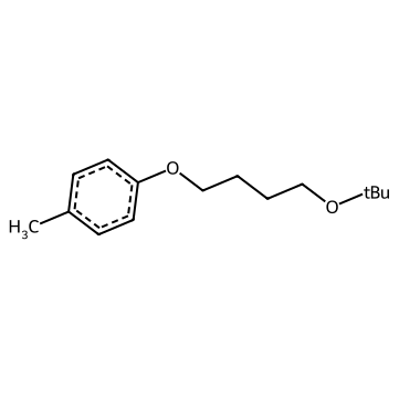 Cc1ccc(OCCCCOC(C)(C)C)cc1